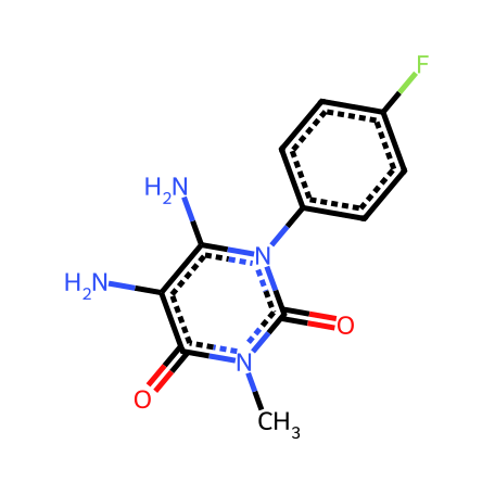 Cn1c(=O)c(N)c(N)n(-c2ccc(F)cc2)c1=O